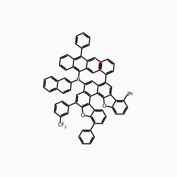 CC(C)c1cccc2oc3c(cc(-c4ccccc4)c4cc(N(c5ccc6ccccc6c5)c5c6ccccc6c(-c6ccccc6)c6ccccc56)c5cc(-c6cccc(C(F)(F)F)c6)c6oc7c(-c8ccccc8)cccc7c6c5c43)c12